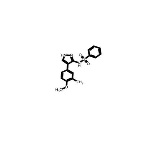 COc1ccc(-c2c[nH]nc2NS(=O)(=O)c2ccccc2)cc1C